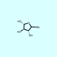 CC(C)(C)C1O[C@@H](O)[C@H](O)[C@H]1O